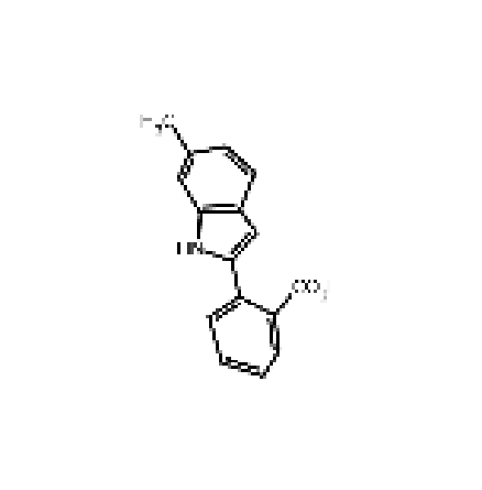 Cc1ccc2cc(-c3ccccc3C(=O)O)[nH]c2c1